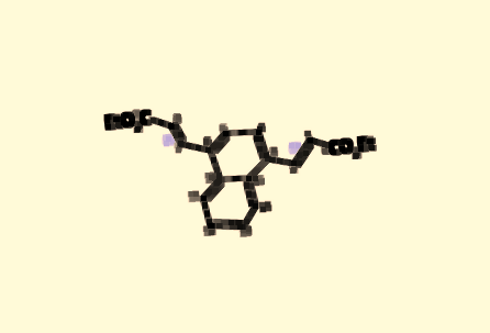 CCOC(=O)/C=C/c1ccc(/C=C/C(=O)OCC)c2ccccc12